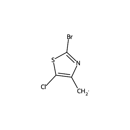 [CH2]c1nc(Br)sc1Cl